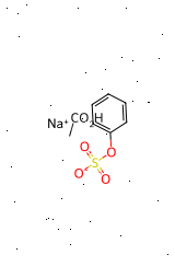 CC(=O)O.O=S(=O)([O-])Oc1ccccc1.[Na+]